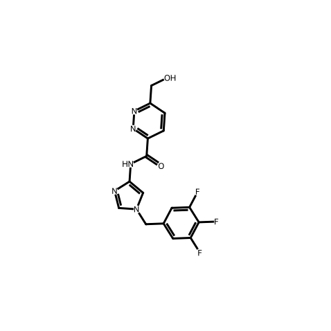 O=C(Nc1cn(Cc2cc(F)c(F)c(F)c2)cn1)c1ccc(CO)nn1